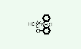 CC(=O)Cl.Cl.Clc1cccc(Cl)c1Nc1ccccc1